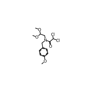 COc1ccc(CN(CC(OC)OC)C(=O)C(Cl)Cl)cc1